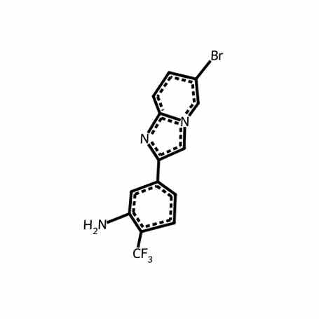 Nc1cc(-c2cn3cc(Br)ccc3n2)ccc1C(F)(F)F